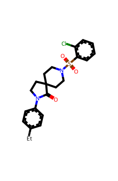 CCc1ccc(N2CCC3(CCN(S(=O)(=O)c4ccccc4Cl)CC3)C2=O)cc1